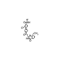 CCc1cccc2c(=O)[nH]c(CCC(=O)N3CCN(c4ccc(C(=O)NC5CC5)cc4Cl)CC3)nc12